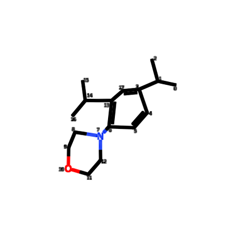 CC(C)c1ccc(N2CCOCC2)c(C(C)C)c1